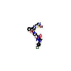 O=C([C@@H]1CCN(Cc2cnc(Br)s2)C[C@H]1c1ccccc1)N1CCC(O)(Cn2cnc3c(ccn3-c3ccc(Cl)cc3)c2=O)CC1